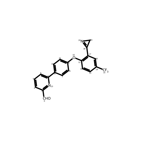 O=Cc1cccc(-c2ccc(Oc3ccc(C(F)(F)F)cc3C3=NC3)cc2)n1